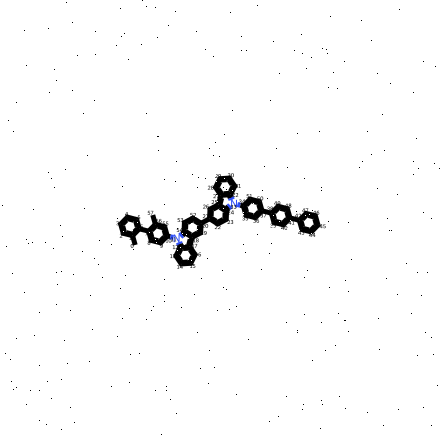 Cc1ccccc1-c1ccc(-n2c3ccccc3c3cc(-c4ccc5c(c4)c4ccccc4n5-c4ccc(-c5ccc(-c6ccccc6)cc5)cc4)ccc32)cc1C